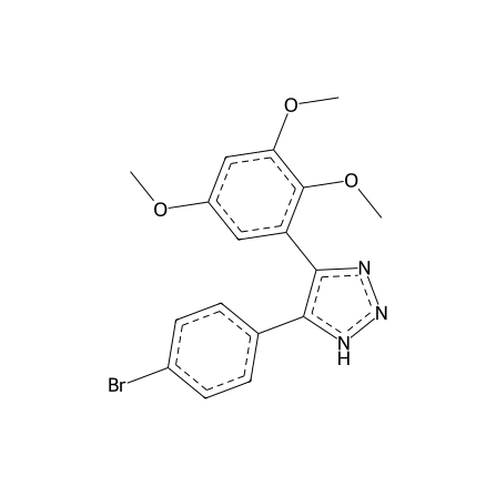 COc1cc(OC)c(OC)c(-c2nn[nH]c2-c2ccc(Br)cc2)c1